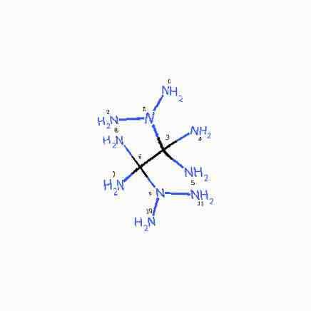 NN(N)C(N)(N)C(N)(N)N(N)N